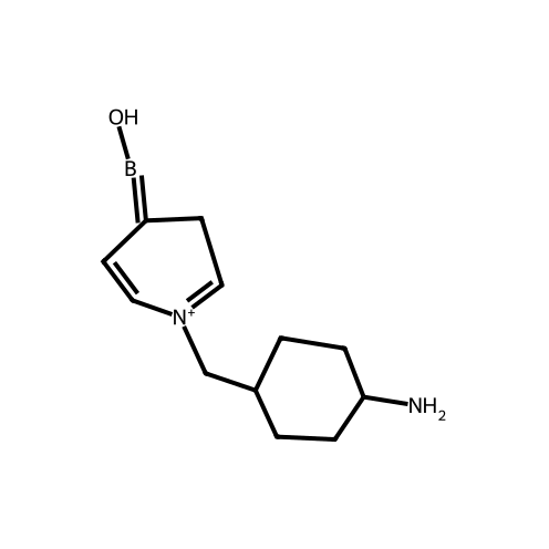 NC1CCC(C[N+]2=CC/C(=B/O)C=C2)CC1